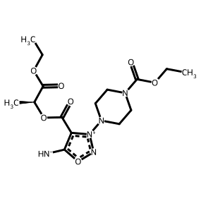 CCOC(=O)[C@H](C)OC(=O)c1c([NH-])on[n+]1N1CCN(C(=O)OCC)CC1